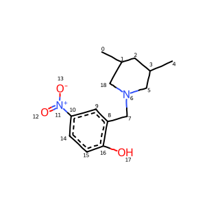 CC1CC(C)CN(Cc2cc([N+](=O)[O-])ccc2O)C1